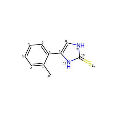 Cc1ccccc1-c1c[nH]c(=S)[nH]1